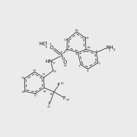 Cl.Nc1cccc2c(S(=O)(=O)NCc3ccccc3C(F)(F)F)cccc12